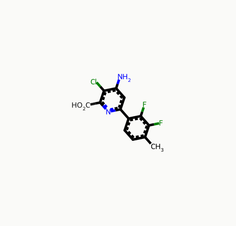 Cc1ccc(-c2cc(N)c(Cl)c(C(=O)O)n2)c(F)c1F